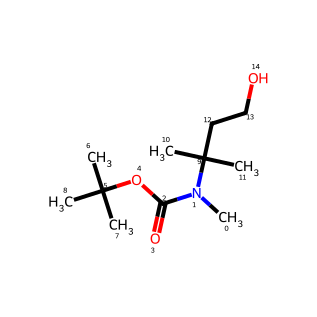 CN(C(=O)OC(C)(C)C)C(C)(C)CCO